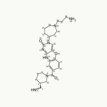 N=C[C@H]1CCCN(C(=O)c2ccc3c(c2)Nc2nc(=O)n(C4CCCN(CCCN)CC4)cc2O3)C1